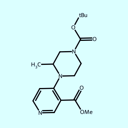 COC(=O)c1cnccc1N1CCN(C(=O)OC(C)(C)C)CC1C